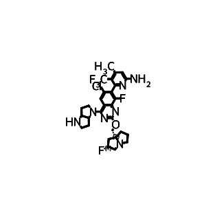 Cc1cc(N)nc(-c2c(Cl)cc3c(N4CCC5NCCC54)nc(OC[C@]45CCCN4C[C@H](F)C5)nc3c2F)c1C(F)(F)F